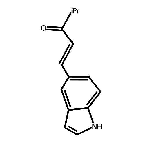 CC(C)C(=O)C=Cc1ccc2[nH]ccc2c1